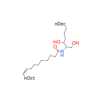 CCCCCCCC/C=C\CCCCCCCC(=O)NC(CO)C(O)CCCCCCCCCCCCC